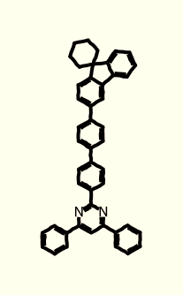 c1ccc(-c2cc(-c3ccccc3)nc(-c3ccc(-c4ccc(-c5ccc6c(c5)-c5ccccc5C65CCCCC5)cc4)cc3)n2)cc1